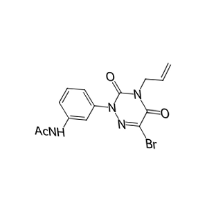 C=CCn1c(=O)c(Br)nn(-c2cccc(NC(C)=O)c2)c1=O